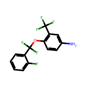 Nc1ccc(OC(F)(F)c2ccccc2F)c(C(F)(F)F)c1